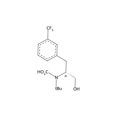 CC(C)(C)N(C(=O)O)[C@@H](CO)Cc1cccc(C(F)(F)F)c1